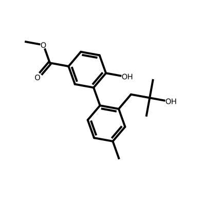 COC(=O)c1ccc(O)c(-c2ccc(C)cc2CC(C)(C)O)c1